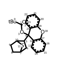 CC(C)(C)C(=O)OC1(C2CC3CCC2S3)c2ccccc2Oc2ccccc21